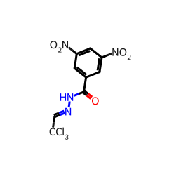 O=C(NN=CC(Cl)(Cl)Cl)c1cc([N+](=O)[O-])cc([N+](=O)[O-])c1